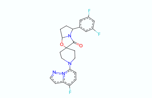 O=C1N2C(CCC2c2cc(F)cc(F)c2)OC12CCN(c1ccc(F)c3ccnn13)CC2